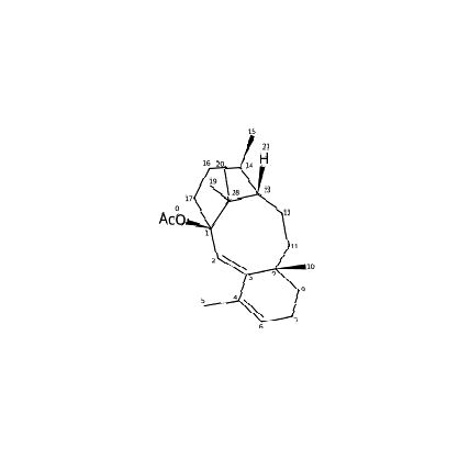 CC(=O)O[C@@]12/C=C3/C(C)=CCC[C@@]3(C)CC[C@@H]([C@H](C)CC1)C2(C)C